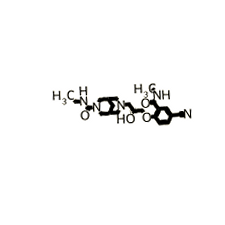 CCNC(=O)N1CC2CC(CN(C[C@H](O)COc3ccc(C#N)cc3C(=O)NC)C2)C1